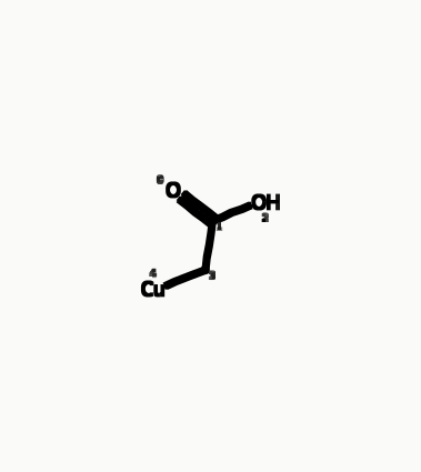 O=C(O)[CH2][Cu]